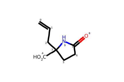 C=CCC1(C(=O)O)CCC(=O)N1